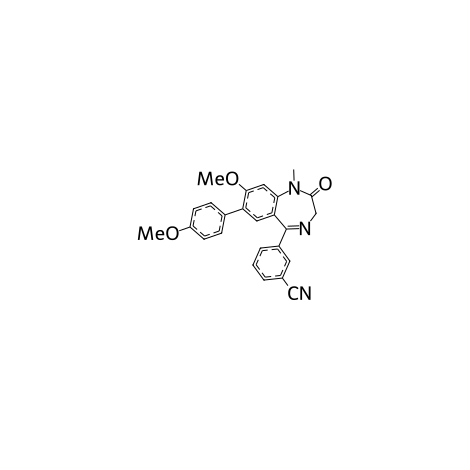 COc1ccc(-c2cc3c(cc2OC)N(C)C(=O)CN=C3c2cccc(C#N)c2)cc1